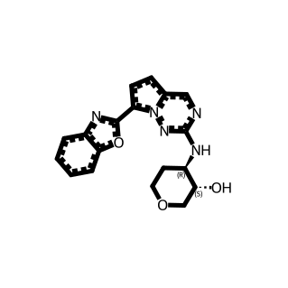 O[C@@H]1COCC[C@H]1Nc1ncc2ccc(-c3nc4ccccc4o3)n2n1